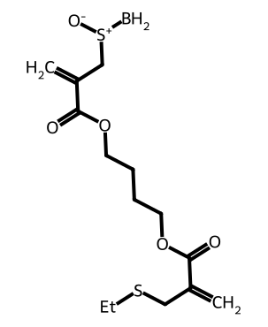 B[S+]([O-])CC(=C)C(=O)OCCCCOC(=O)C(=C)CSCC